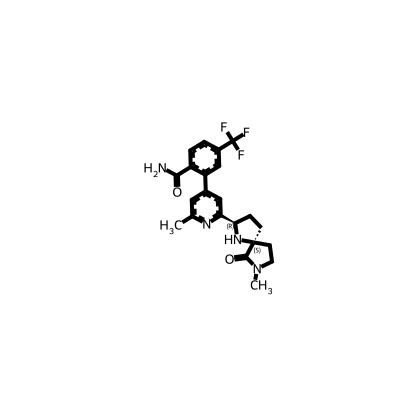 Cc1cc(-c2cc(C(F)(F)F)ccc2C(N)=O)cc([C@H]2CC[C@@]3(CCN(C)C3=O)N2)n1